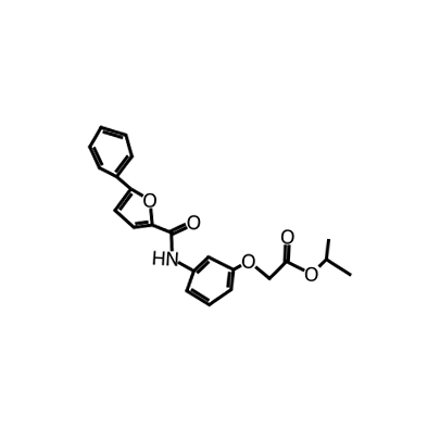 CC(C)OC(=O)COc1cccc(NC(=O)c2ccc(-c3ccccc3)o2)c1